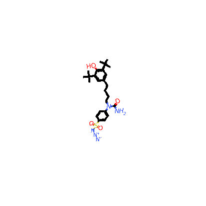 CC(C)(C)c1cc(CCCCN(C(N)=O)c2ccc(S(=O)(=O)N=[N+]=[N-])cc2)cc(C(C)(C)C)c1O